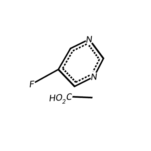 CC(=O)O.Fc1cncnc1